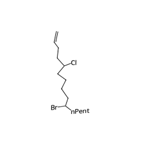 C=CCCC(Cl)CCCCC(Br)CCCCC